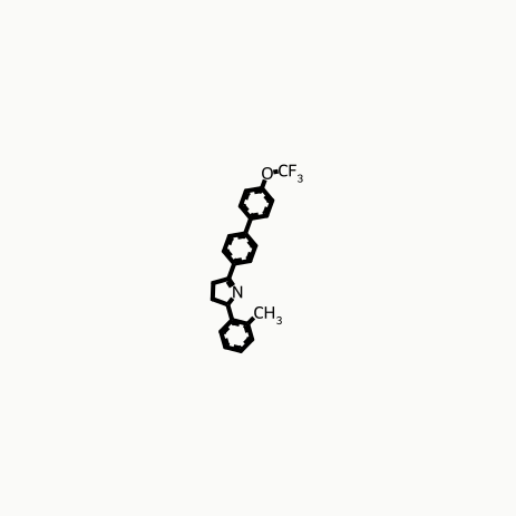 Cc1ccccc1C1CCC(c2ccc(-c3ccc(OC(F)(F)F)cc3)cc2)=N1